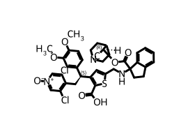 COc1ccc([C@H](Cc2c(Cl)c[n+]([O-])cc2Cl)c2cc(CNC3(C(=O)O[C@H]4CN5CCC4CC5)CCc4ccccc43)sc2C(=O)O)cc1OC